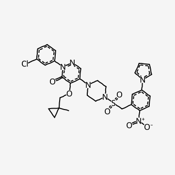 CC1(COc2c(N3CCN(S(=O)(=O)Cc4cc(-n5cccc5)ccc4[N+](=O)[O-])CC3)cnn(-c3cccc(Cl)c3)c2=O)CC1